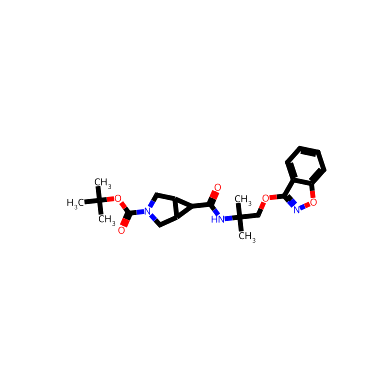 CC(C)(COc1noc2ccccc12)NC(=O)C1C2CN(C(=O)OC(C)(C)C)CC21